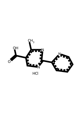 Cc1nc(-c2ccccn2)ncc1C(=O)O.Cl